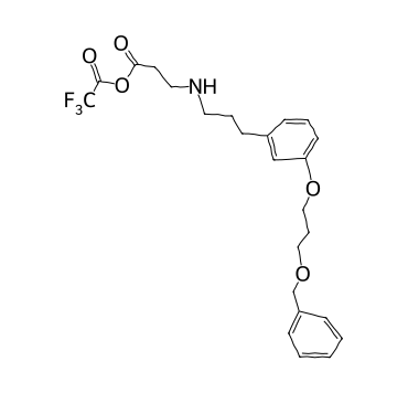 O=C(CCNCCCc1cccc(OCCCOCc2ccccc2)c1)OC(=O)C(F)(F)F